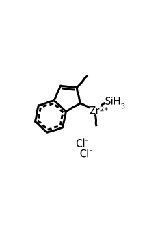 CC1=Cc2ccccc2[CH]1[Zr+2]([CH3])[SiH3].[Cl-].[Cl-]